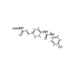 O=C(/C=C/C1=CC=C(NC(=O)Nc2ccc(Cl)cc2)CC1)NO